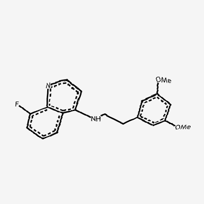 COc1cc(CCNc2ccnc3c(F)cccc23)cc(OC)c1